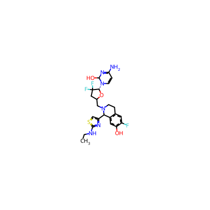 CCNc1nc(C2c3cc(O)c(F)cc3CCN2CC2CC(F)(F)[C@H](N3C=CC(N)=NC3O)O2)cs1